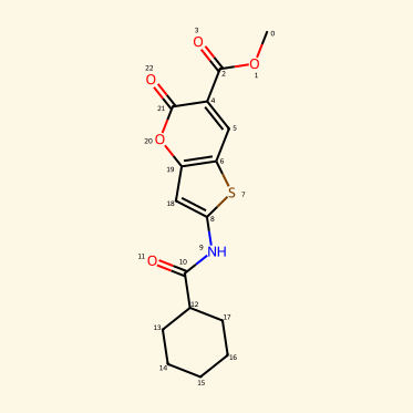 COC(=O)c1cc2sc(NC(=O)C3CCCCC3)cc2oc1=O